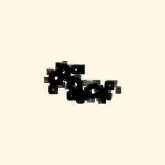 COC1CN(c2c(C#N)cnc3ccc(Cl)cc23)CCC1C(=O)N1CCn2c(nnc2C(F)(F)F)C1